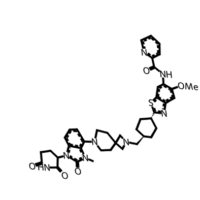 COc1cc2nc([C@H]3CC[C@H](CN4CC5(CCN(c6cccc7c6n(C)c(=O)n7C6CCC(=O)NC6=O)CC5)C4)CC3)sc2cc1NC(=O)c1ccccn1